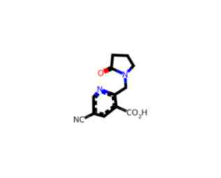 N#Cc1cnc(CN2CCCC2=O)c(C(=O)O)c1